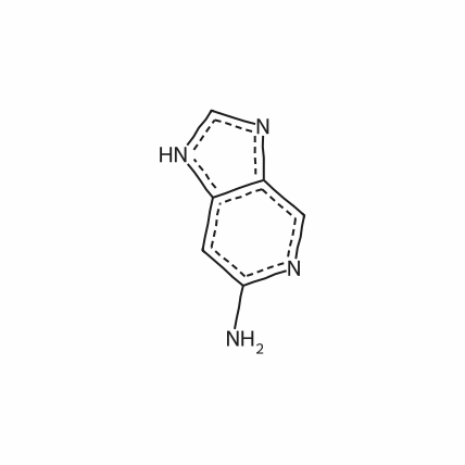 Nc1cc2[nH]cnc2cn1